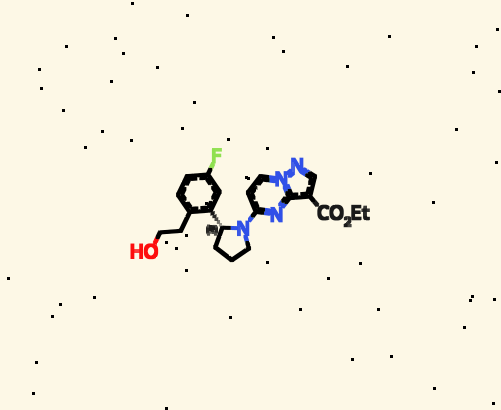 CCOC(=O)c1cnn2ccc(N3CCC[C@@H]3c3cc(F)ccc3CCO)nc12